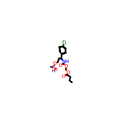 CCCC(=O)OCOC(=O)NC(CCO[PH](C)=O)c1ccc(Cl)cc1